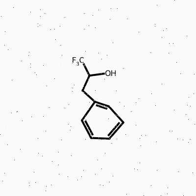 OC(Cc1ccccc1)C(F)(F)F